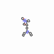 c1ccc(-c2nc(-c3ccccc3)n3c(-c4ccc(-c5ccc(-c6cc(-c7ccc8ccccc8c7)nc(-c7ccc8ccccc8c7)n6)cc5)cc4)c4ccccc4c3n2)cc1